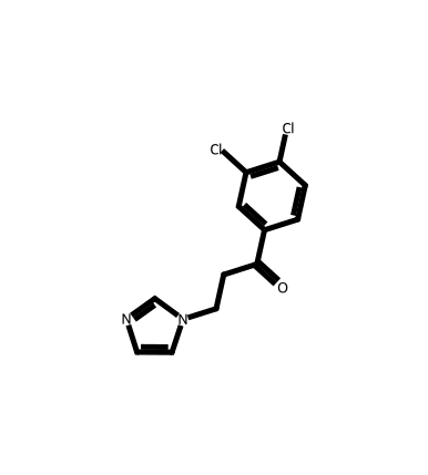 O=C(CCn1ccnc1)c1ccc(Cl)c(Cl)c1